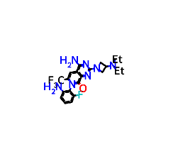 CCN(CC)C1CN(c2nc(N)c3cc(C(F)(F)F)n(-c4c(N)cccc4F)c(=O)c3n2)C1